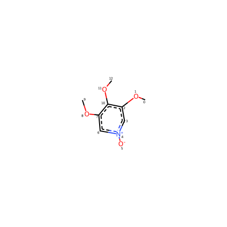 COc1[c][n+]([O-])cc(OC)c1OC